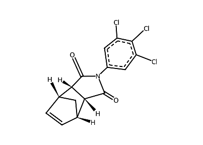 O=C1[C@@H]2[C@H](C(=O)N1c1cc(Cl)c(Cl)c(Cl)c1)[C@@H]1C=C[C@H]2C1